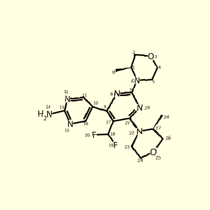 C[C@H]1COCCN1c1nc(-c2cnc(N)nc2)c(C(F)F)c(N2CCOC[C@@H]2C)n1